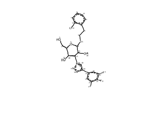 OCC1OC(SCCc2ccccc2Cl)C(O)C(n2cc(-c3cc(F)c(F)c(F)c3)nn2)C1O